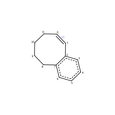 [C]1=C\c2ccccc2CCCC/1